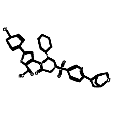 O=C(O)c1sc(C2=CCC(Cl)C=C2)cc1N1C(=O)CN(S(=O)(=O)c2ccc(N3CC4CC3CO4)nc2)C[C@H]1C1CCCCC1